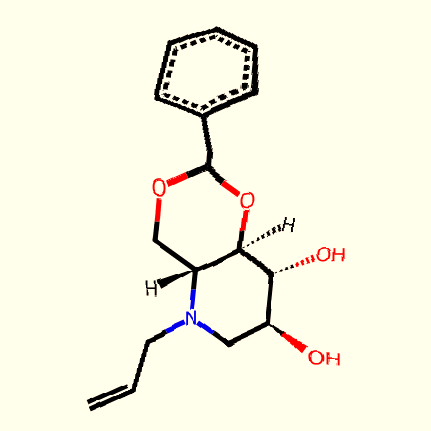 C=CCN1C[C@H](O)[C@@H](O)[C@@H]2OC(c3ccccc3)OC[C@H]21